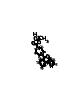 CC(C)OC(=O)N1CCCN(C(=O)c2ccccc2-n2nccn2)CC1